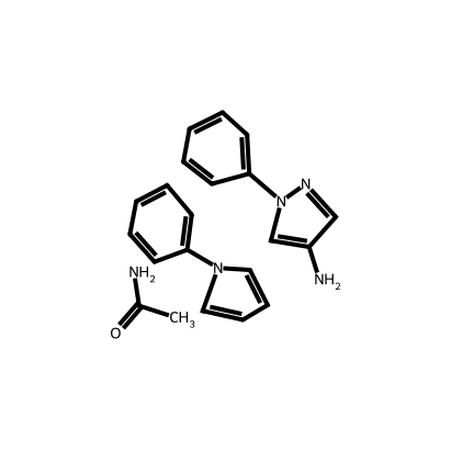 CC(N)=O.Nc1cnn(-c2ccccc2)c1.c1ccc(-n2cccc2)cc1